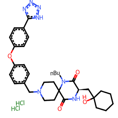 CCCCN1C(=O)[C@@H](CC2(O)CCCCC2)NC(=O)C12CCN(Cc1ccc(Oc3ccc(-c4nnn[nH]4)cc3)cc1)CC2.Cl.Cl